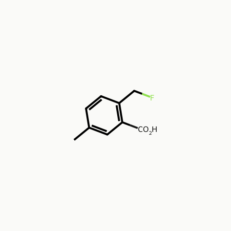 Cc1ccc(CF)c(C(=O)O)c1